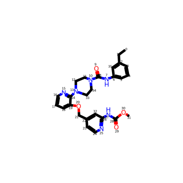 CCc1cccc(NC(=O)N2CCN(c3ncccc3OCc3ccnc(NC(=O)OC)c3)CC2)c1